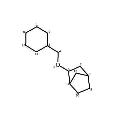 C1CCC(COC2CC3CCC2C3)CC1